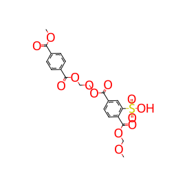 COCOC(=O)c1ccc(C(=O)OOCOC(=O)c2ccc(C(=O)OC)cc2)cc1S(=O)(=O)O